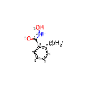 O=C(NO)c1ccccc1.[PbH2]